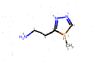 C[SH]1C=NN=C1CCN